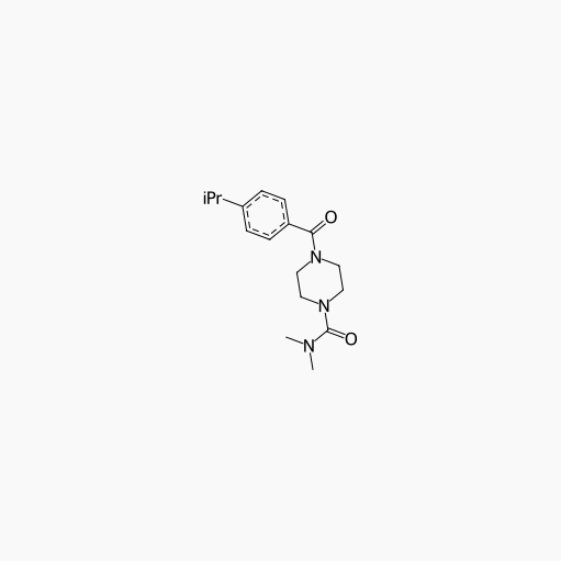 CC(C)c1ccc(C(=O)N2CCN(C(=O)N(C)C)CC2)cc1